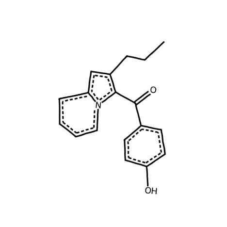 CCCc1cc2ccccn2c1C(=O)c1ccc(O)cc1